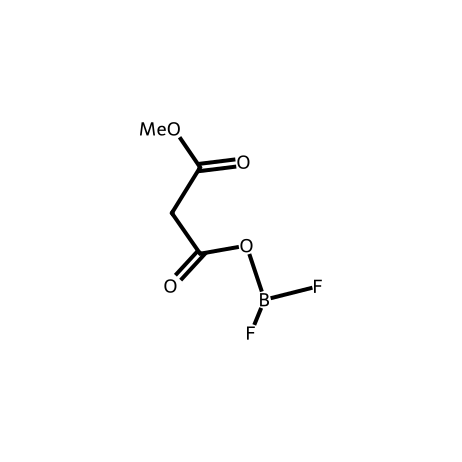 COC(=O)CC(=O)OB(F)F